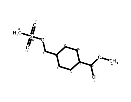 COC(O)C1CCC(COS(C)(=O)=O)CC1